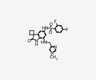 Cn1cnc(CNc2cc(NS(=O)(=O)c3ccc(F)cc3F)cc3c2NC(=O)C32CCC2)c1